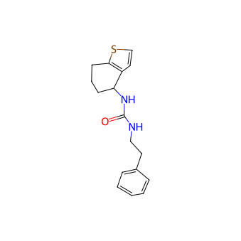 O=C(NCCc1ccccc1)NC1CCCc2sccc21